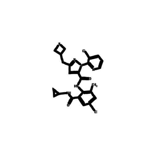 Cc1cc(Cl)cc(C(=O)NC2CC2)c1NC(=O)c1cc(CC2CSC2)nn1-c1ncccc1Cl